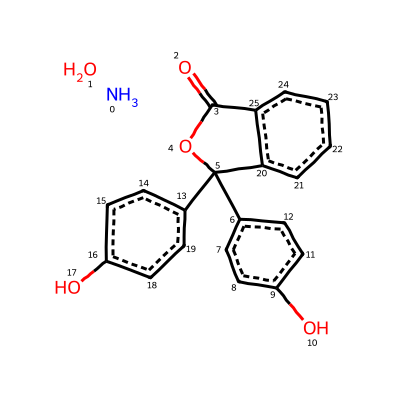 N.O.O=C1OC(c2ccc(O)cc2)(c2ccc(O)cc2)c2ccccc21